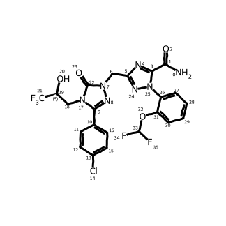 NC(=O)c1nc(Cn2nc(-c3ccc(Cl)cc3)n(C[C@H](O)C(F)(F)F)c2=O)nn1-c1ccccc1OC(F)F